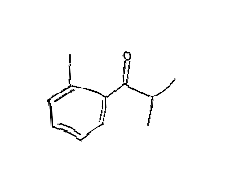 CC(C)C(=O)c1ccccc1I